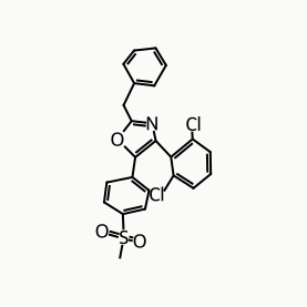 CS(=O)(=O)c1ccc(-c2oc(Cc3ccccc3)nc2-c2c(Cl)cccc2Cl)cc1